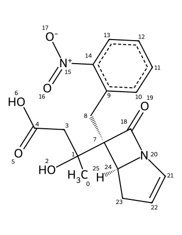 CC(O)(CC(=O)O)[C@@]1(Cc2ccccc2[N+](=O)[O-])C(=O)N2C=CC[C@H]21